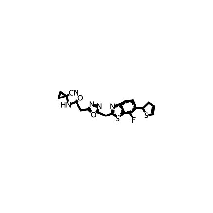 N#CC1(NC(=O)Cc2nnc(Cc3nc4ccc(C5CC=CS5)c(F)c4s3)o2)CC1